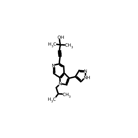 CC(C)Cn1cc(-c2cn[nH]c2)c2cc(C#CC(C)(C)O)ncc21